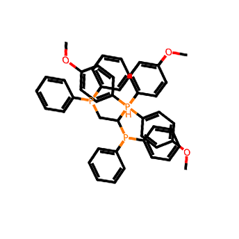 COc1ccc([PH](c2ccc(OC)cc2)(c2ccc(OC)cc2)C(CP(c2ccccc2)c2ccccc2)P(c2ccccc2)c2ccccc2)cc1